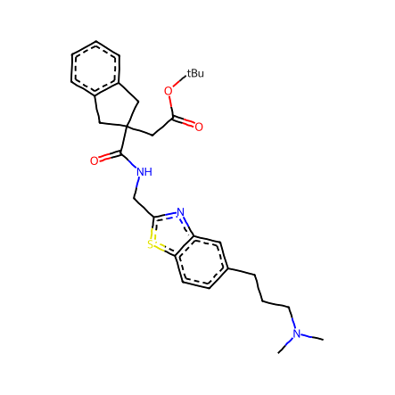 CN(C)CCCc1ccc2sc(CNC(=O)C3(CC(=O)OC(C)(C)C)Cc4ccccc4C3)nc2c1